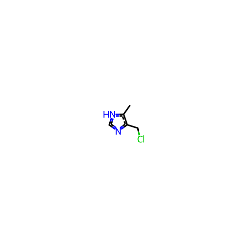 Cc1[nH]cnc1CCl